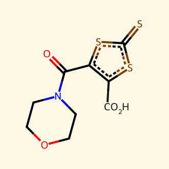 O=C(O)c1sc(=S)sc1C(=O)N1CCOCC1